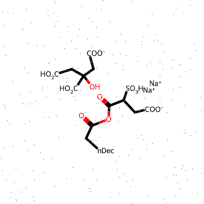 CCCCCCCCCCCC(=O)OC(=O)C(CC(=O)[O-])S(=O)(=O)O.O=C([O-])CC(O)(CC(=O)O)C(=O)O.[Na+].[Na+]